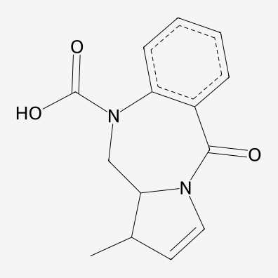 CC1C=CN2C(=O)c3ccccc3N(C(=O)O)CC12